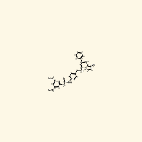 COc1cc(NC(=O)Nc2ccc(CNc3cc(-c4ccccc4)nc4c(Br)cnn34)cc2)cc(OC)c1